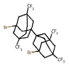 FC(F)(F)C12CC3(Br)CC(C(F)(F)F)(C1)CC(C14CC5(Br)CC(C(F)(F)F)(CC(C(F)(F)F)(C5)C1)C4)(C3)C2